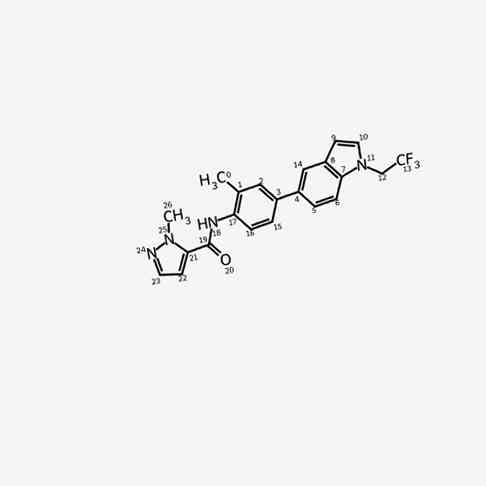 Cc1cc(-c2ccc3c(ccn3CC(F)(F)F)c2)ccc1NC(=O)c1ccnn1C